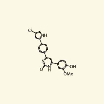 COc1cc(-c2cc(-c3ccc(-c4cc(Cl)c[nH]4)cc3)nc(=O)[nH]2)ccc1O